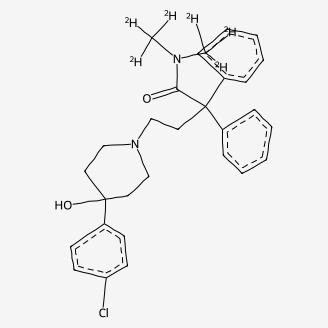 [2H]C([2H])([2H])N(C(=O)C(CCN1CCC(O)(c2ccc(Cl)cc2)CC1)(c1ccccc1)c1ccccc1)C([2H])([2H])[2H]